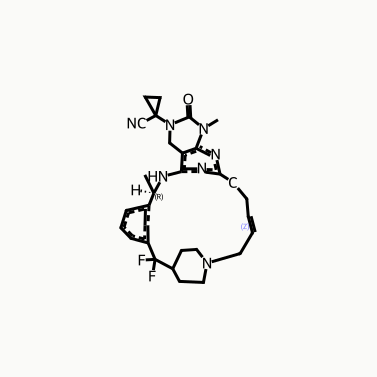 C[C@H]1Nc2nc(nc3c2CN(C2(C#N)CC2)C(=O)N3C)CC/C=C\CN2CCC(CC2)C(F)(F)c2cccc1c2